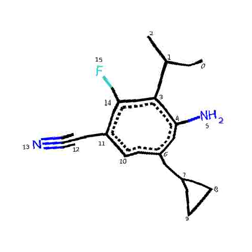 CC(C)c1c(N)c(C2CC2)cc(C#N)c1F